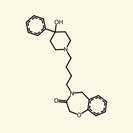 O=C1COc2ccccc2CN1CCCCN1CCC(O)(c2ccccc2)CC1